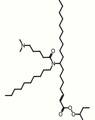 CCCCCCCCCCC(CCCCC=CC(=O)OOC(CC)CC)N(CCCCCCCCCC)C(=O)CCCCN(C)C